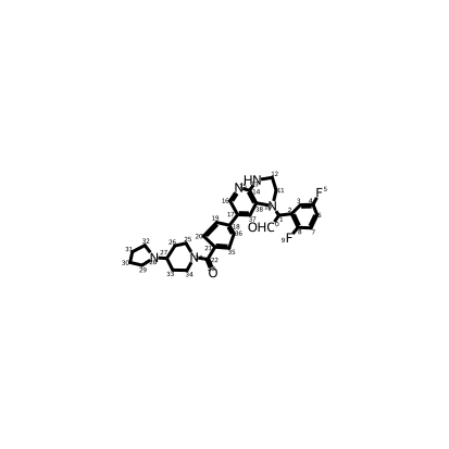 O=CC(c1cc(F)ccc1F)N1CCNc2ncc(-c3ccc(C(=O)N4CCC(N5CCCC5)CC4)cc3)cc21